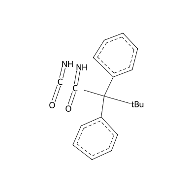 CC(C)(C)C(C)(c1ccccc1)c1ccccc1.N=C=O.N=C=O